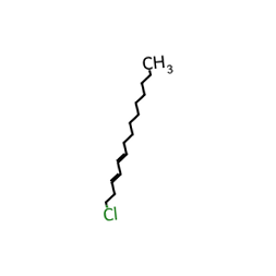 CCCCCCCCCC=CC=CCCCl